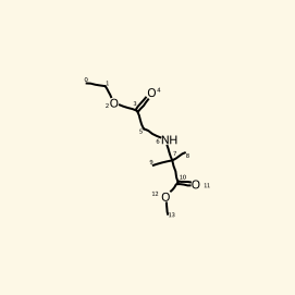 CCOC(=O)CNC(C)(C)C(=O)OC